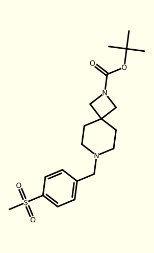 CC(C)(C)OC(=O)N1CC2(CCN(Cc3ccc(S(C)(=O)=O)cc3)CC2)C1